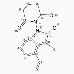 C=Cc1cccc2c1n(C)c(=O)n2N1C(=O)CCCC1=O